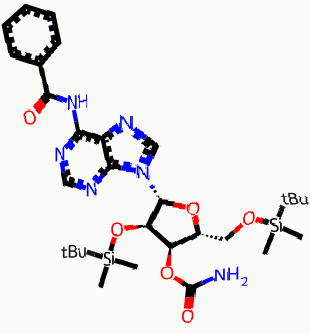 CC(C)(C)[Si](C)(C)OC[C@H]1O[C@@H](n2cnc3c(NC(=O)c4ccccc4)ncnc32)[C@H](O[Si](C)(C)C(C)(C)C)[C@@H]1OC(N)=O